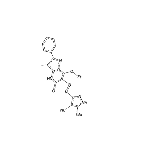 CCOc1c(/N=N/c2n[nH]c(C(C)(C)C)c2C#N)c(=O)[nH]c2c(C)c(-c3ccccc3)nn12